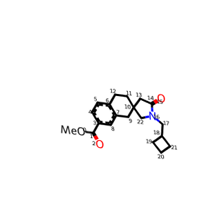 COC(=O)c1ccc2c(c1)CC1(CC2)CC(=O)N(CC2CCC2)C1